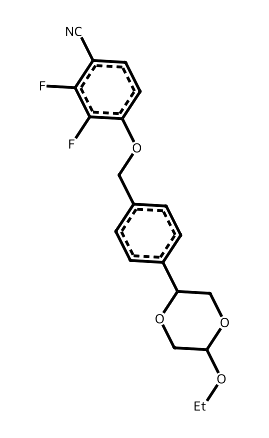 CCOC1COC(c2ccc(COc3ccc(C#N)c(F)c3F)cc2)CO1